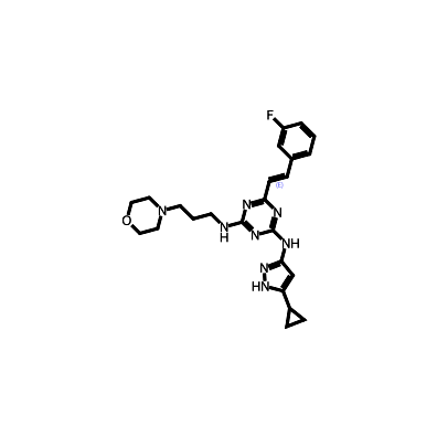 Fc1cccc(/C=C/c2nc(NCCCN3CCOCC3)nc(Nc3cc(C4CC4)[nH]n3)n2)c1